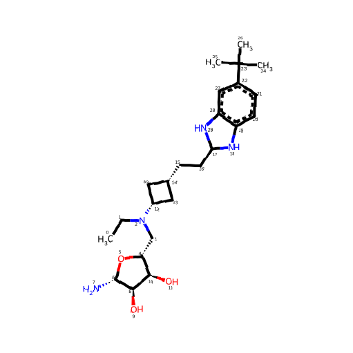 CCN(C[C@H]1O[C@@H](N)[C@H](O)[C@@H]1O)[C@H]1C[C@@H](CCC2Nc3ccc(C(C)(C)C)cc3N2)C1